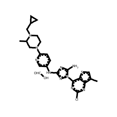 Cc1csc2c(-n3nc(Nc4ccc(N5CCN(CC6CC6)C(C)C5)nc4)nc3N)nc(Cl)nc12.O=CO